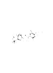 O=C(Nc1ccc(O)c(F)c1)Nc1ccc(Cl)c(C(F)(F)F)c1